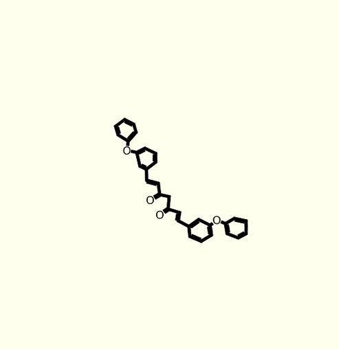 O=C(C=Cc1cccc(Oc2ccccc2)c1)CC(=O)C=Cc1cccc(Oc2ccccc2)c1